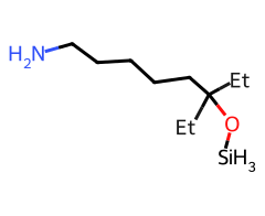 CCC(CC)(CCCCCN)O[SiH3]